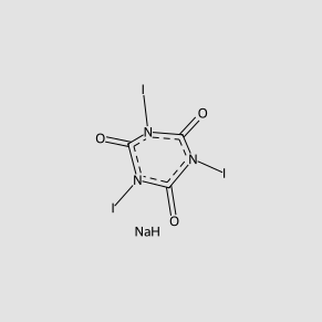 O=c1n(I)c(=O)n(I)c(=O)n1I.[NaH]